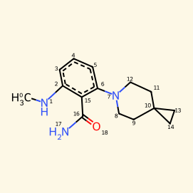 CNc1cccc(N2CCC3(CC2)CC3)c1C(N)=O